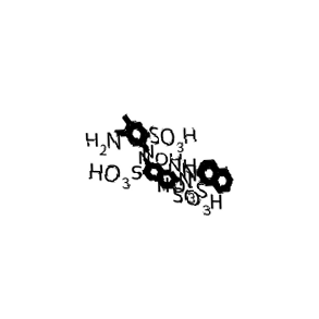 Cc1cc(S(=O)(=O)O)c(N=Nc2c(S(=O)(=O)O)cc3cc(S(=O)(=O)O)c(N=Nc4ccc5ccccc5c4S(=O)(=O)O)c(N)c3c2O)cc1CN